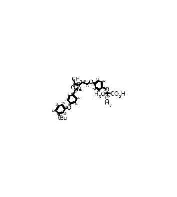 Cc1oc(-c2ccc(Oc3cccc(C(C)(C)C)c3)cc2)nc1CCOc1ccc(OC(C)(C)C(=O)O)cc1